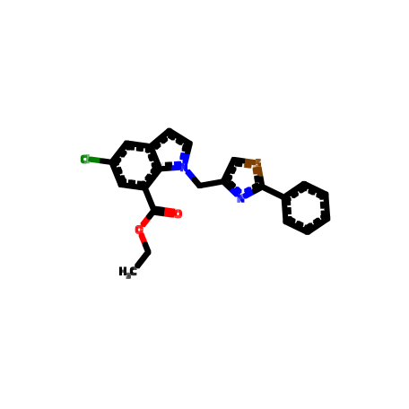 CCOC(=O)c1cc(Cl)cc2ccn(Cc3csc(-c4ccccc4)n3)c12